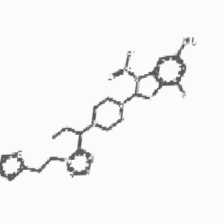 CCC(c1nnnn1CCc1cccs1)N1CCN(C2Sc3c(F)cc(N)cc3N2[N+](=O)[O-])CC1